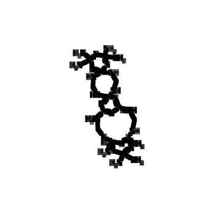 NP1(N)=NP(N)(N)=NP2(=N1)NCNP1(=NP3(N)=NP(N)(=N1)NCNP1(N)=NP(N)(=NP(N)(N)=N1)NCN3)NCN2